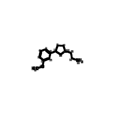 COc1cccc(C2CCN(CCN)C2)c1